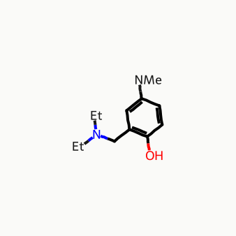 CCN(CC)Cc1cc(NC)ccc1O